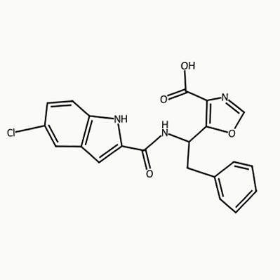 O=C(NC(Cc1ccccc1)c1ocnc1C(=O)O)c1cc2cc(Cl)ccc2[nH]1